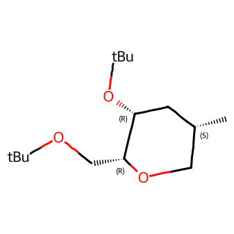 C[C@@H]1CO[C@H](COC(C)(C)C)[C@H](OC(C)(C)C)C1